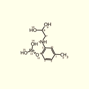 Cc1cccc(NCC(O)O)c1.[O]=[Re]([OH])[OH]